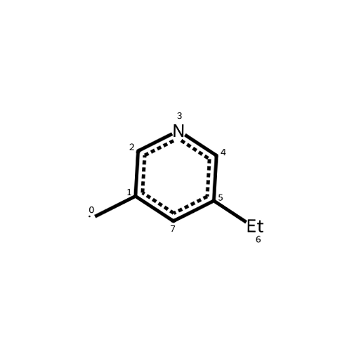 [CH2]c1cncc(CC)c1